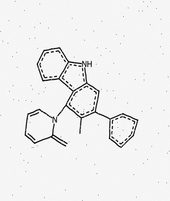 C=C1C=CC=CN1c1c(C)c(-c2ccccc2)cc2[nH]c3ccccc3c12